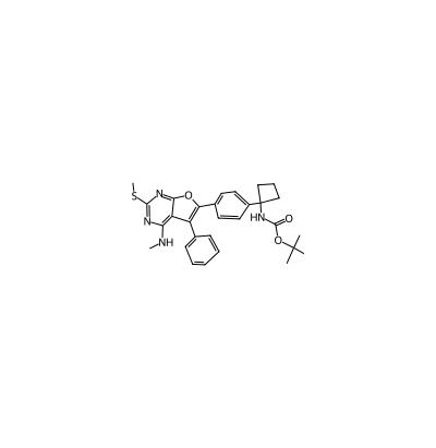 CNc1nc(SC)nc2oc(-c3ccc(C4(NC(=O)OC(C)(C)C)CCC4)cc3)c(-c3ccccc3)c12